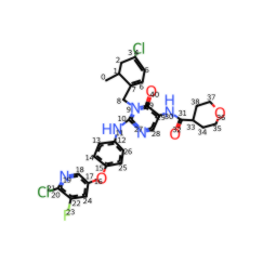 CC1CC(Cl)=CC=C1Cn1c(Nc2ccc(Oc3cnc(Cl)c(F)c3)cc2)ncc(NC(=O)C2CCOCC2)c1=O